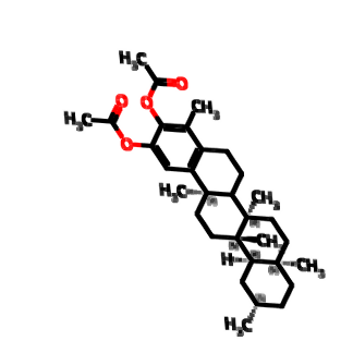 CC(=O)Oc1cc2c(c(C)c1OC(C)=O)CCC1[C@@]2(C)CC[C@@]2(C)[C@@H]3C[C@@H](C)CC[C@]3(C)CC[C@]12C